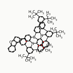 CC(C)(C)c1cc(-c2ccc3c(c2)N(c2c(-c4ccccc4)cc(C(C)(C)C)cc2-c2ccccc2)c2cc(C(C)(C)C)cc4c2B3c2ccc(-c3ccc5oc6ccccc6c5c3)cc2N4c2c(-c3ccccc3)cc(C(C)(C)C)cc2-c2ccccc2)cc(C(C)(C)C)c1